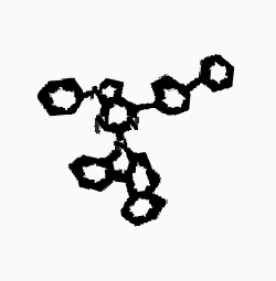 c1ccc(-c2ccc(-c3nc(-n4c5ccccc5c5c6ccccc6ccc54)nc4c3ccn4-c3ccccc3)cc2)cc1